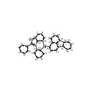 c1ccc(-c2nc3cccc4c3n2-c2ccccc2N4c2ccc3c4c(cccc24)-c2ccccc2-3)cc1